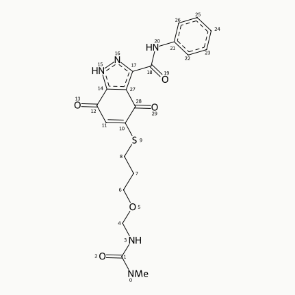 CNC(=O)NCOCCCSC1=CC(=O)c2[nH]nc(C(=O)Nc3ccccc3)c2C1=O